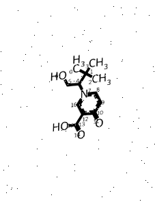 CC(C)(C)C(CO)n1ccc(=O)c(C(=O)O)c1